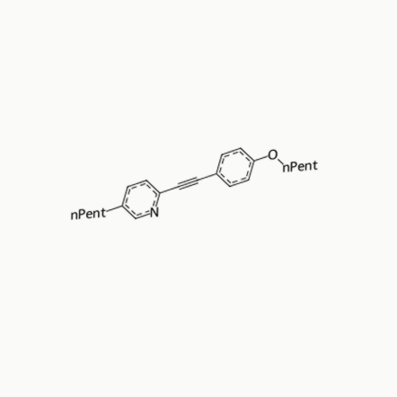 CCCCCOc1ccc(C#Cc2ccc(CCCCC)cn2)cc1